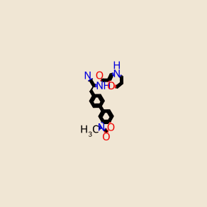 Cn1c(=O)oc2ccc(-c3ccc(C[C@@H](C#N)NC(=O)C4=CNCCCO4)cc3)cc21